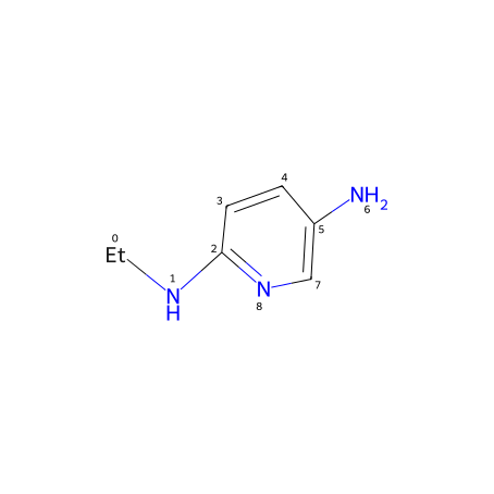 CCNc1ccc(N)cn1